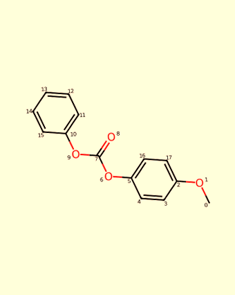 COc1ccc(OC(=O)Oc2ccccc2)cc1